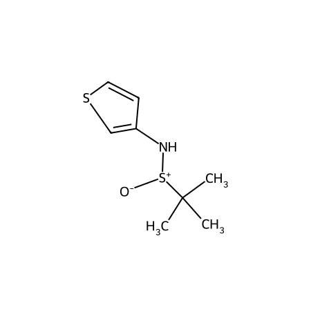 CC(C)(C)[S+]([O-])Nc1ccsc1